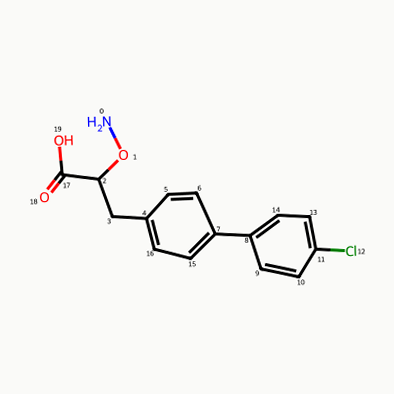 NOC(Cc1ccc(-c2ccc(Cl)cc2)cc1)C(=O)O